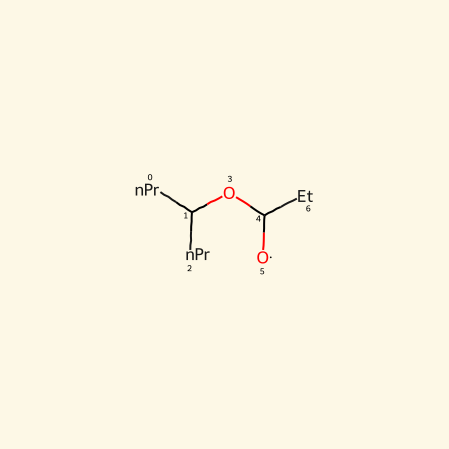 CCCC(CCC)OC([O])CC